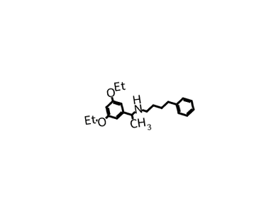 CCOc1cc(OCC)cc(C(C)NCCCCc2ccccc2)c1